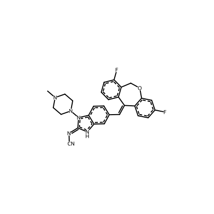 CN1CCN(n2c(=NC#N)[nH]c3cc(C=C4c5ccc(F)cc5OCc5c(F)cccc54)ccc32)CC1